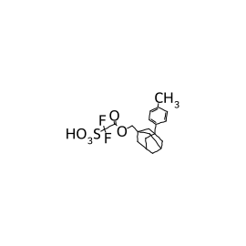 Cc1ccc(C23CC4CC(CC(COC(=O)C(F)(F)S(=O)(=O)O)(C4)C2)C3)cc1